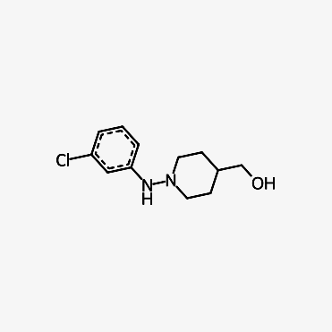 OCC1CCN(Nc2cccc(Cl)c2)CC1